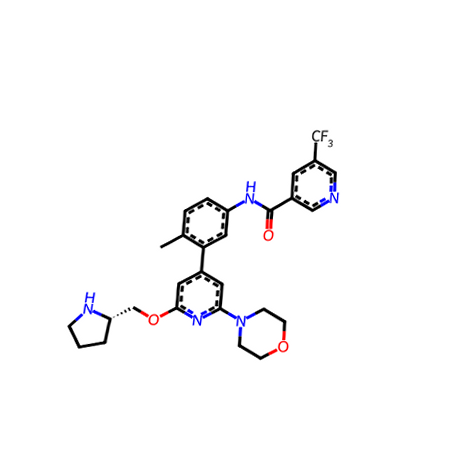 Cc1ccc(NC(=O)c2cncc(C(F)(F)F)c2)cc1-c1cc(OC[C@@H]2CCCN2)nc(N2CCOCC2)c1